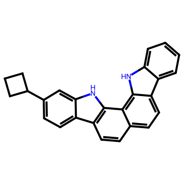 c1ccc2c(c1)[nH]c1c2ccc2ccc3c4ccc(C5CCC5)cc4[nH]c3c21